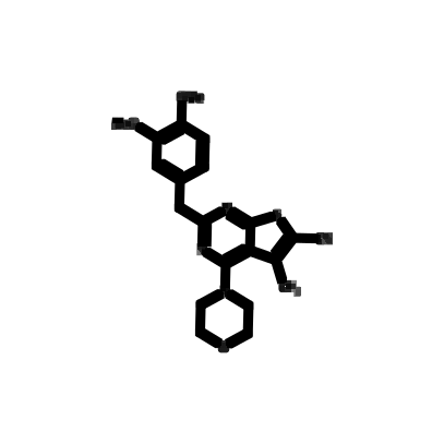 COc1ccc(Cc2nc(N3CCOCC3)c3c(C)c(C#N)sc3n2)cc1OC